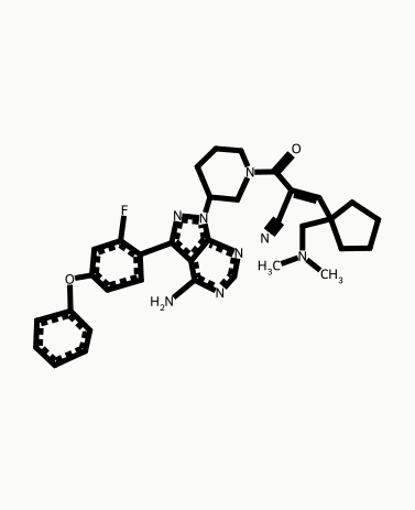 CN(C)CC1(C=C(C#N)C(=O)N2CCCC(n3nc(-c4ccc(Oc5ccccc5)cc4F)c4c(N)ncnc43)C2)CCCC1